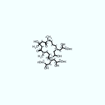 CCCCCCCCCCC(O)CN(CCCN(C)C(=O)CC(C)(O)CC(=O)N(C)CCCN(CC(O)CCCCCCCCCC)CC(O)CCCCCCCCCC)CC(O)CCCCCCCCCC